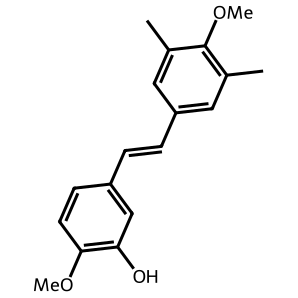 COc1ccc(C=Cc2cc(C)c(OC)c(C)c2)cc1O